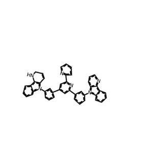 C1=Cc2c(c3ccccc3n2-c2cccc(-c3cc(-c4cccc(-n5c6ccccc6c6ncccc65)c4)nc(-c4ccccn4)c3)c2)NC1